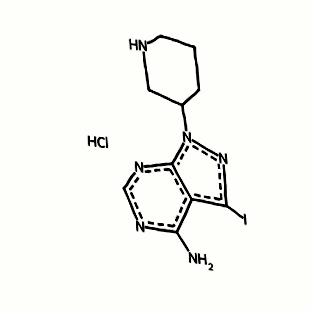 Cl.Nc1ncnc2c1c(I)nn2C1CCCNC1